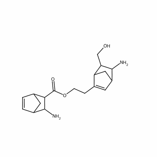 NC1C2C=C(CCOC(=O)C3C4C=CC(C4)C3N)C(C2)C1CO